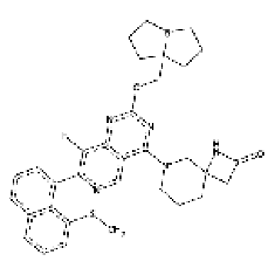 CSc1cccc2cccc(-c3ncc4c(N5CCCC6(CC(=O)N6)C5)nc(OCC56CCCN5CCC6)nc4c3F)c12